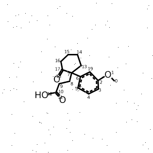 COc1cccc(C2(CCC(=O)O)CCCCC2=O)c1